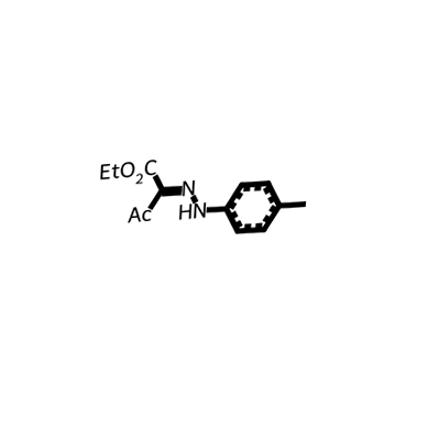 CCOC(=O)C(=NNc1ccc(C)cc1)C(C)=O